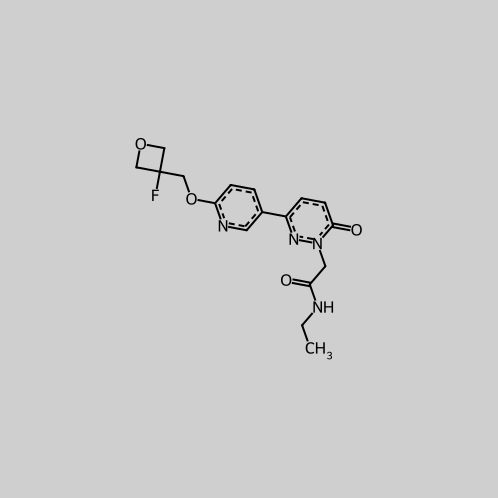 CCNC(=O)Cn1nc(-c2ccc(OCC3(F)COC3)nc2)ccc1=O